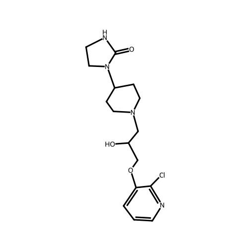 O=C1NCCN1C1CCN(CC(O)COc2cccnc2Cl)CC1